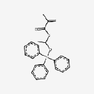 C=C(C)C(=O)OC(C)O[Si](c1ccccc1)(c1ccccc1)c1ccccc1